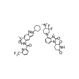 CN(C[C@H]1CC[C@H](n2cc3cc(NC(=O)c4cccc(C(F)(F)F)n4)c([S+](C)[O-])cc3n2)CC1)C1CCN(c2cccc3c2n(C)c(=O)n3C2CCC(=O)NC2=O)CC1(F)F